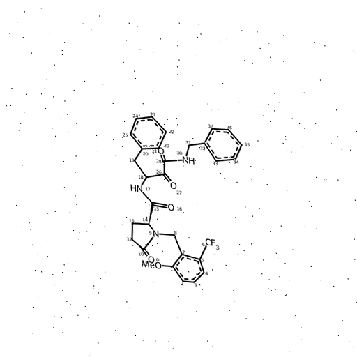 COc1cccc(C(F)(F)F)c1CN1C(=O)CC[C@H]1C(=O)NC(Cc1ccccc1)C(=O)C(=O)NCc1ccccc1